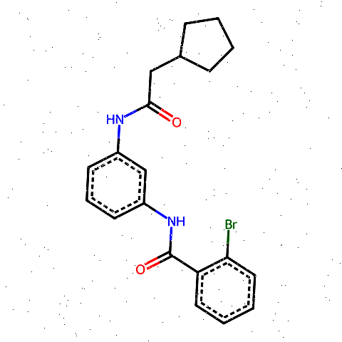 O=C(CC1CCCC1)Nc1cccc(NC(=O)c2ccccc2Br)c1